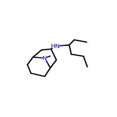 CCCC(CC)NC1CC2CCCC(C1)N2C